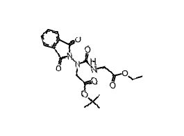 CCOC(=O)CNC(=O)N(CC(=O)OC(C)(C)C)N1C(=O)c2ccccc2C1=O